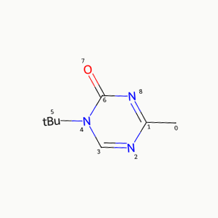 Cc1ncn(C(C)(C)C)c(=O)n1